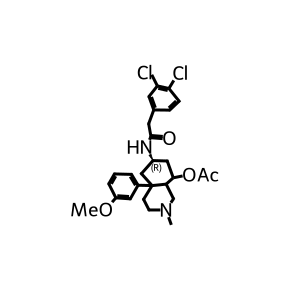 COc1cccc(C23CCN(C)CC2C(OC(C)=O)C[C@H](NC(=O)Cc2ccc(Cl)c(Cl)c2)C3)c1